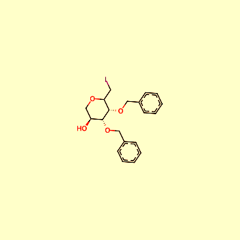 O[C@H]1COC(CI)[C@H](OCc2ccccc2)[C@@H]1OCc1ccccc1